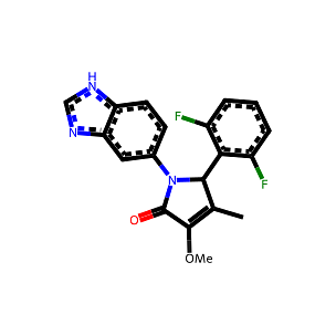 COC1=C(C)C(c2c(F)cccc2F)N(c2ccc3[nH]cnc3c2)C1=O